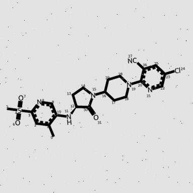 Cc1cc(S(C)(=O)=O)ncc1N[C@H]1CCN(C2CCN(c3ncc(Cl)cc3C#N)CC2)C1=O